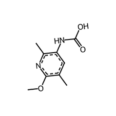 COc1nc(C)c(NC(=O)O)cc1C